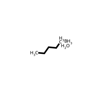 B.CCCCC.O